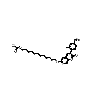 CCCCc1ccc(-c2cc3cc(OCCCCCCCCCCCCOC(=O)CC)ncc3oc2=O)c(C)c1